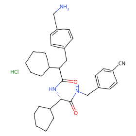 Cl.N#Cc1ccc(CNC(=O)[C@@H](NC(=O)C(Cc2ccc(CN)cc2)C2CCCCC2)C2CCCCC2)cc1